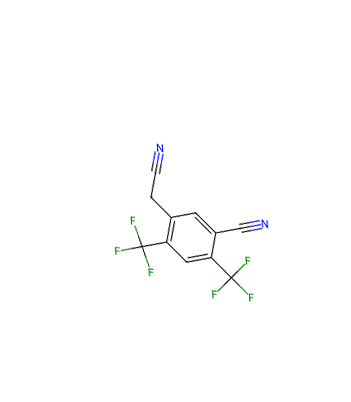 N#CCc1cc(C#N)c(C(F)(F)F)cc1C(F)(F)F